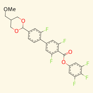 COCC1COC(c2ccc(-c3cc(F)c(C(=O)Oc4cc(F)c(F)c(F)c4)c(F)c3)c(F)c2)OC1